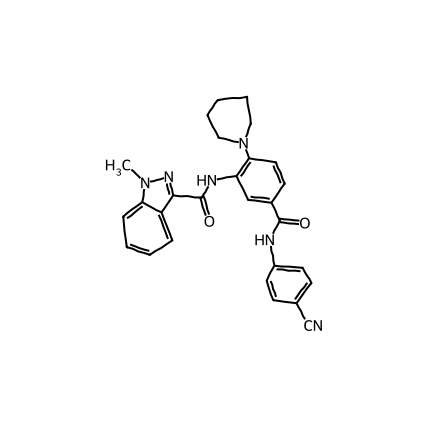 Cn1nc(C(=O)Nc2cc(C(=O)Nc3ccc(C#N)cc3)ccc2N2CCCCC2)c2ccccc21